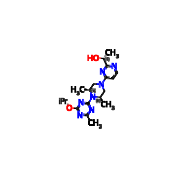 Cc1nc(OC(C)C)nc(N2[C@H](C)CN(c3ccnc([C@@H](C)O)n3)C[C@@H]2C)n1